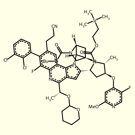 COc1cc(O[C@H]2C[C@H](c3cc4c([C@@H](C)OC5CCCCO5)nc5c(F)c(-c6cccc(Cl)c6Cl)c(CCC#N)cc5c4n3[C@H]3[C@@H]4C[C@H]3N(C(=O)OC(C)(C)C)C4)N(C(=O)OCC[Si](C)(C)C)[C@@H]2C)c(F)cn1